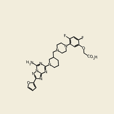 Nc1nc(N2CCCC(CN3CCN(c4cc(OCC(=O)O)c(F)cc4F)CC3)C2)nc2nc(-c3ccco3)nn12